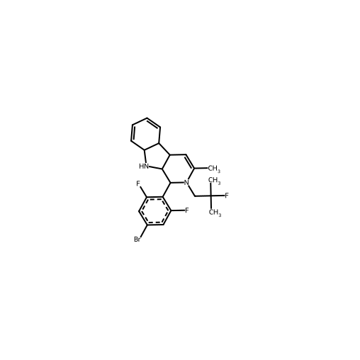 CC1=CC2C3C=CC=CC3NC2C(c2c(F)cc(Br)cc2F)N1CC(C)(C)F